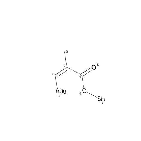 CCCCC=C(C)C(=O)OS